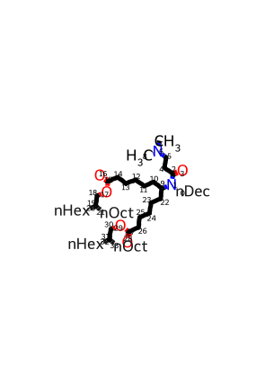 CCCCCCCCCCN(C(=O)CCN(C)C)C(CCCCCC(=O)OCC(CCCCCC)CCCCCCCC)CCCCCC(=O)OCC(CCCCCC)CCCCCCCC